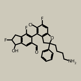 NCCCCC1(c2ccccc2)Cc2c(cc(F)c(Cl)c2-c2c(C=O)cc3c(c2F)CC(F)C3O)O1